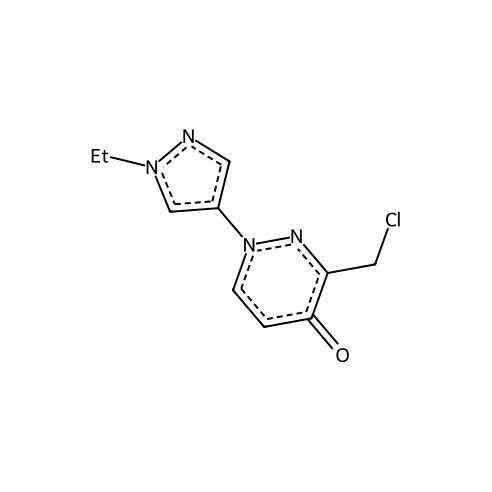 CCn1cc(-n2ccc(=O)c(CCl)n2)cn1